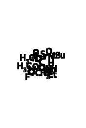 CCS(=O)(=O)Nc1ccc(Oc2c(C)cc(F)cc2C)c(-c2cn(C)c(=O)c3sc(C(=O)NC(C)(C)C)cc23)c1